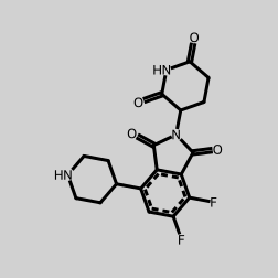 O=C1CCC(N2C(=O)c3c(C4CCNCC4)cc(F)c(F)c3C2=O)C(=O)N1